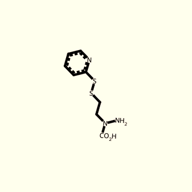 NN(CCSSc1ccccn1)C(=O)O